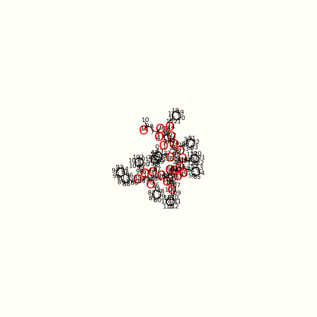 COC1C(OC(=O)CCC(C)=O)[C@@H](COCc2ccccc2)O[C@H]1OCC(OCc1ccccc1)C(OCc1ccccc1)C(COP(=O)(OCc1ccccc1)OC1C(OC)[C@H](OCC(OCc2ccccc2)C(OCc2ccccc2)C(COCc2ccc3ccccc3c2)OCc2ccccc2)O[C@@H]1COCc1ccccc1)OCc1ccccc1